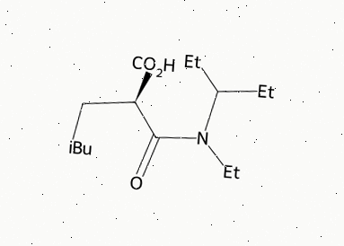 CCC(C)C[C@@H](C(=O)O)C(=O)N(CC)C(CC)CC